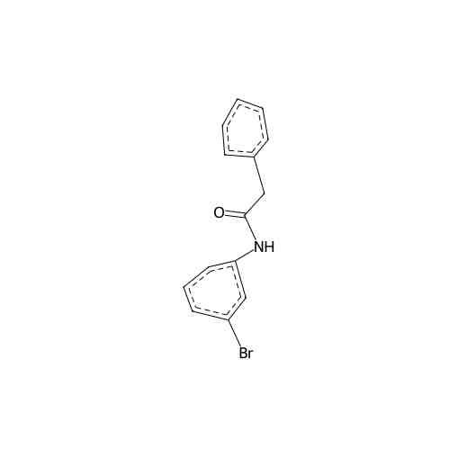 O=C(Cc1ccccc1)Nc1cccc(Br)c1